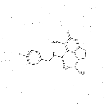 COc1c(C(=O)NCc2ccc(F)cc2)n2c(cc1=O)CCC2C(C)S(=O)(=O)O